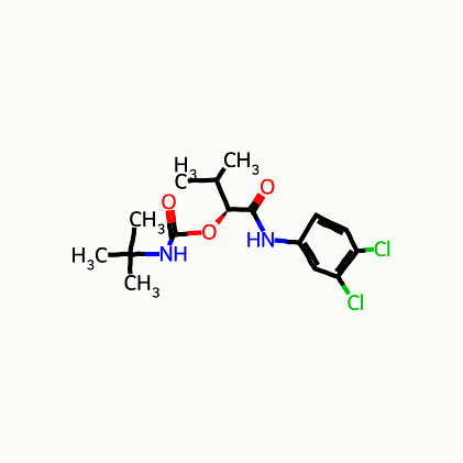 CC(C)[C@H](OC(=O)NC(C)(C)C)C(=O)Nc1ccc(Cl)c(Cl)c1